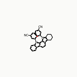 N#Cc1cccc(-n2c3c(c4ccc5c6ccccc6n(-c6cccc(C#N)c6)c5c42)CCCC3)c1